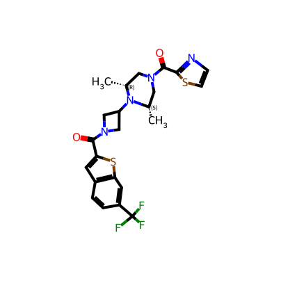 C[C@@H]1CN(C(=O)c2nccs2)C[C@H](C)N1C1CN(C(=O)c2cc3ccc(C(F)(F)F)cc3s2)C1